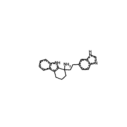 NC1(CCc2ccc3nc[nH]c3c2)CCCc2c1[nH]c1ccccc21